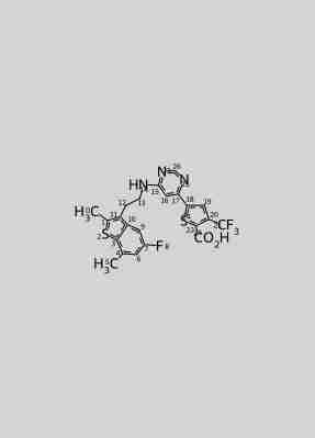 Cc1sc2c(C)cc(F)cc2c1CCNc1cc(-c2cc(C(F)(F)F)c(C(=O)O)s2)ncn1